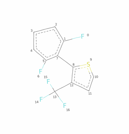 Fc1cccc(F)c1-c1sccc1C(F)(F)F